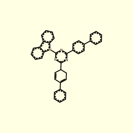 C1=CC(c2nc(-c3ccc(-c4ccccc4)cc3)nc(-n3c4ccccc4c4ccccc43)n2)CC=C1c1ccccc1